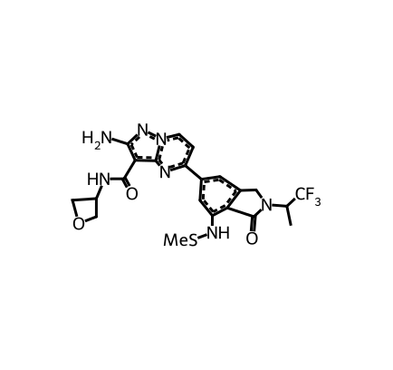 CSNc1cc(-c2ccn3nc(N)c(C(=O)NC4COC4)c3n2)cc2c1C(=O)N(C(C)C(F)(F)F)C2